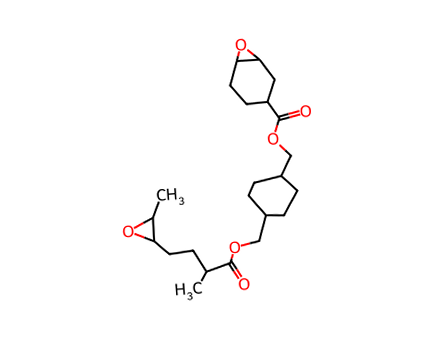 CC(CCC1OC1C)C(=O)OCC1CCC(COC(=O)C2CCC3OC3C2)CC1